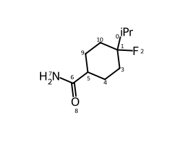 CC(C)C1(F)CCC(C(N)=O)CC1